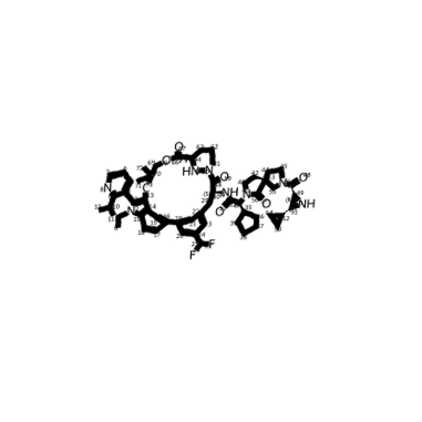 CCn1c(-c2cccnc2C(C)C)c2c3cc(ccc31)-c1cc(cc(C(F)F)c1)C[C@H](NC(=O)[C@H](C1CCCC1)N1CC[C@]3(CCN(C(=O)[C@@H]4N[C@@H]4C4CC4)C3)C1=O)C(=O)N1CCC[C@H](N1)C(=O)OCC(C)(C)C2